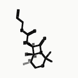 C=CCOC(=O)N[C@H]1C(=O)N2[C@@H]1[C@@H](C)COC2(C)C